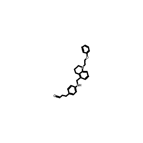 O=CCCc1ccc(NCc2cccc3c2CCCN3CCOc2ccccc2)cc1